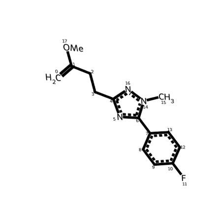 C=C(CCc1nc(-c2ccc(F)cc2)n(C)n1)OC